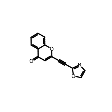 O=c1cc(C#Cc2ncco2)oc2ccccc12